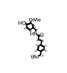 COc1cc(CNC(=O)/C=C/c2ccc(CC(C)(C)C)cc2)ccc1O